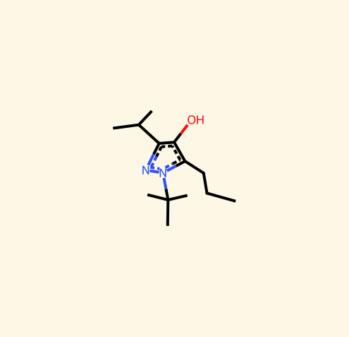 CCCc1c(O)c(C(C)C)nn1C(C)(C)C